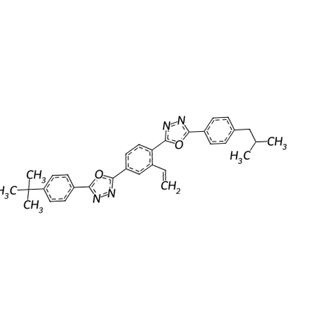 C=Cc1cc(-c2nnc(-c3ccc(C(C)(C)C)cc3)o2)ccc1-c1nnc(-c2ccc(CC(C)C)cc2)o1